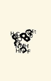 CCC1CCN(c2cc(C)c(Oc3ncccc3-c3ccnc(N[C@@H]4CNC[C@@H](F)C4)n3)c3ccccc23)C1=O